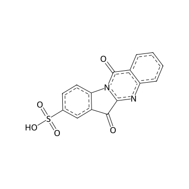 O=C1c2cc(S(=O)(=O)O)ccc2-n2c1nc1ccccc1c2=O